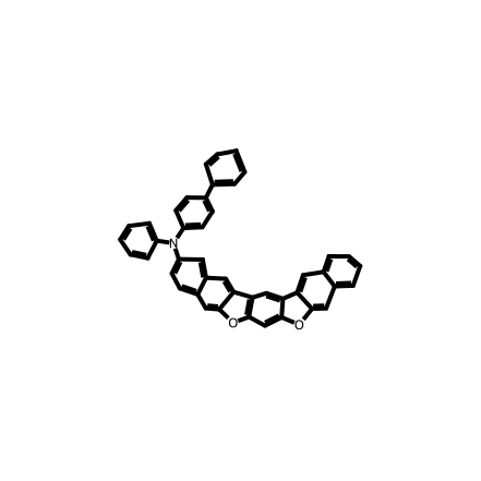 c1ccc(-c2ccc(N(c3ccccc3)c3ccc4cc5oc6cc7oc8cc9ccccc9cc8c7cc6c5cc4c3)cc2)cc1